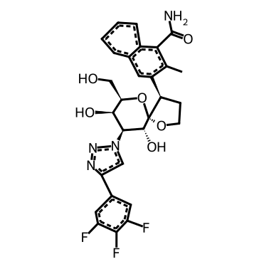 Cc1c([C@H]2CCO[C@]23O[C@H](CO)[C@H](O)[C@H](n2cc(-c4cc(F)c(F)c(F)c4)nn2)[C@H]3O)cc2ccccc2c1C(N)=O